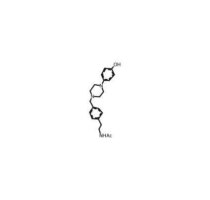 CC(=O)NCCc1ccc(CN2CCN(c3ccc(O)cc3)CC2)cc1